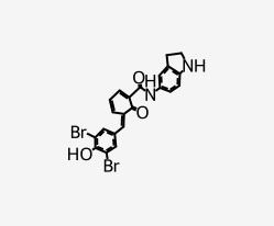 O=C(Nc1ccc2c(c1)CCN2)C1=CC=CC(=Cc2cc(Br)c(O)c(Br)c2)C1=O